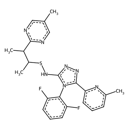 Cc1cnc(C(C)C(C)SNc2nnc(-c3cccc(C)n3)n2-c2c(F)cccc2F)nc1